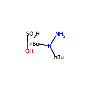 CCCCN(N)CCCC.O=S(=O)(O)O